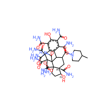 CC1CCN(C(=O)C2C[C@]3(C(N)=O)[C@@H](O)CCC3(C(N)=O)C3(C(N)=O)C2c2c(C(N)=O)c(C(N)=O)c(O)c(C(N)=O)c2C(C(N)=O)(C(N)=O)C3(C(N)=O)C(N)=O)CC1